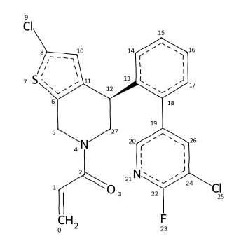 C=CC(=O)N1Cc2sc(Cl)cc2[C@@H](c2ccccc2-c2cnc(F)c(Cl)c2)C1